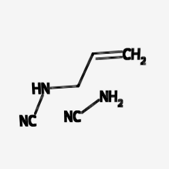 C=CCNC#N.N#CN